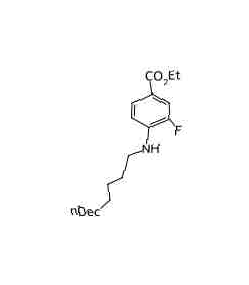 CCCCCCCCCCCCCCNc1ccc(C(=O)OCC)cc1F